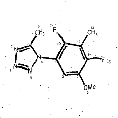 COc1cc(-n2nnnc2C)c(F)c(C)c1F